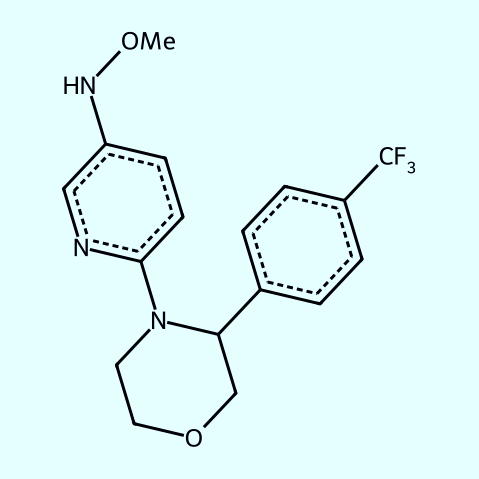 CONc1ccc(N2CCOCC2c2ccc(C(F)(F)F)cc2)nc1